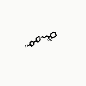 Clc1ccc(C2=CCN(CCCc3onc4c3CCCCC4)CC2)cc1